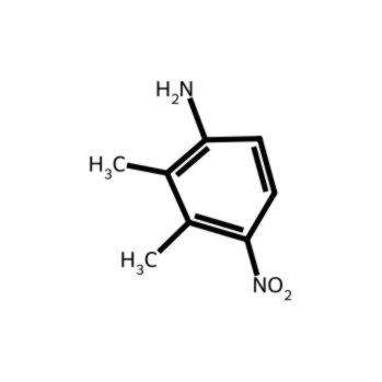 Cc1c(N)ccc([N+](=O)[O-])c1C